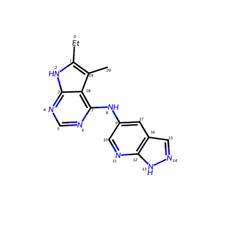 CCc1[nH]c2ncnc(Nc3cnc4[nH]ncc4c3)c2c1C